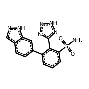 NS(=O)(=O)c1cccc(-c2ccc3cn[nH]c3c2)c1-c1nn[nH]n1